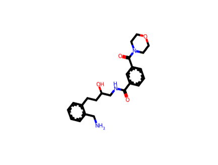 NCc1ccccc1CCC(O)CNC(=O)c1cccc(C(=O)N2CCOCC2)c1